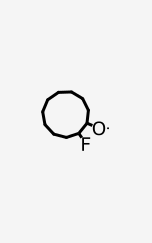 [O]C1CCCCCCCCCC1F